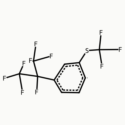 FC(F)(F)Sc1[c]ccc(C(F)(C(F)(F)F)C(F)(F)F)c1